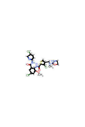 COc1cc(Cl)cc(C(=O)Nc2ccc(Cl)cn2)c1NC(=O)c1scc(C/[N+](C)=C2\NCCO2)c1Cl